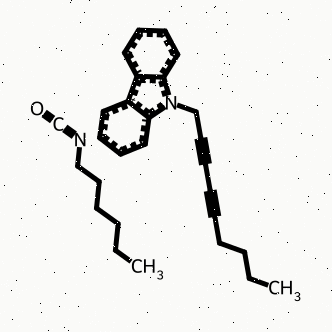 CCCCC#CC#CCn1c2ccccc2c2ccccc21.CCCCCCN=C=O